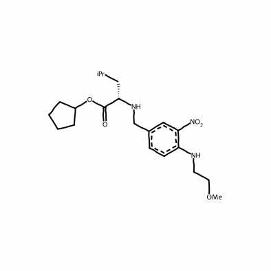 COCCNc1ccc(CN[C@@H](CC(C)C)C(=O)OC2CCCC2)cc1[N+](=O)[O-]